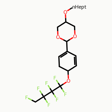 CCCCCCCOC1COC(C2=CCC(OC(F)(F)C(F)(F)C(F)(F)CF)C=C2)OC1